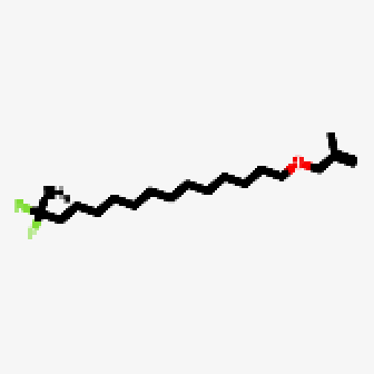 C=C(C)COCCCCCCCCCCCCCC(F)(F)[SiH3]